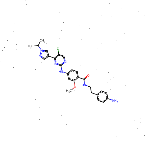 COc1cc(Nc2ncc(Cl)c(-c3cnn(C(C)C)c3)n2)ccc1C(=O)NCCc1ccc(N)cc1